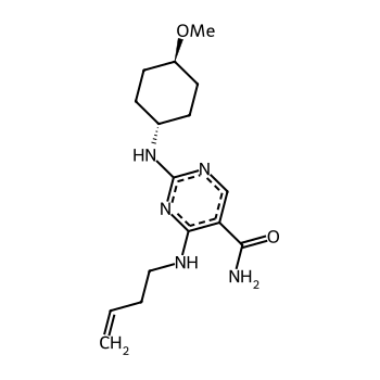 C=CCCNc1nc(N[C@H]2CC[C@H](OC)CC2)ncc1C(N)=O